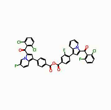 O=C(OC(=O)c1ccc(-c2cc(C(=O)c3c(F)cccc3Cl)n3ccccc23)c(F)c1)c1ccc(-c2cc(C(=O)c3c(Cl)cccc3Cl)n3cc(F)ccc23)cc1